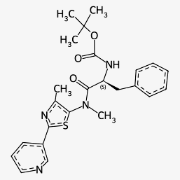 Cc1nc(-c2cccnc2)sc1N(C)C(=O)[C@H](Cc1ccccc1)NC(=O)OC(C)(C)C